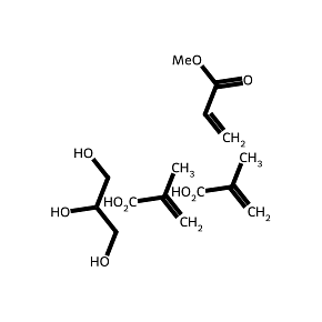 C=C(C)C(=O)O.C=C(C)C(=O)O.C=CC(=O)OC.OCC(O)CO